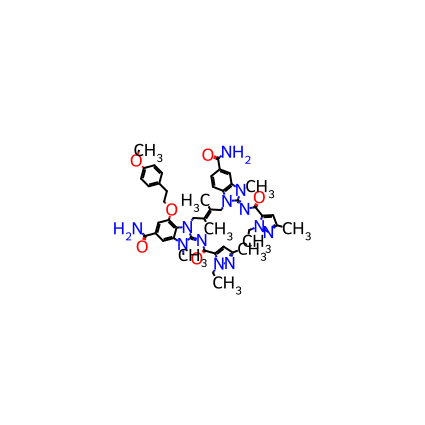 CCn1nc(C)cc1C(=O)/N=c1\n(C)c2cc(C(N)=O)ccc2n1C/C(C)=C(\C)Cn1/c(=N/C(=O)c2cc(C)nn2CC)n(C)c2cc(C(N)=O)cc(OCCc3ccc(OC)cc3)c21